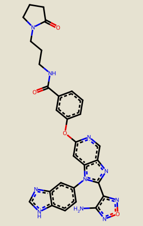 Nc1nonc1-c1nc2cnc(Oc3cccc(C(=O)NCCCN4CCCC4=O)c3)cc2n1-c1ccc2[nH]cnc2c1